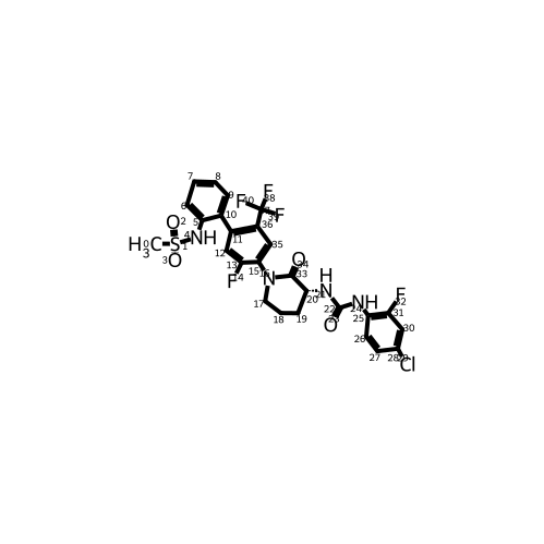 CS(=O)(=O)Nc1ccccc1-c1cc(F)c(N2CCC[C@@H](NC(=O)Nc3ccc(Cl)cc3F)C2=O)cc1C(F)(F)F